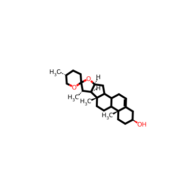 C[C@@H]1CCC2(OC1)O[C@H]1CC3C4CC=C5C[C@@H](O)CC[C@]5(C)C4CC[C@]3(C)[C@H]1[C@@H]2C